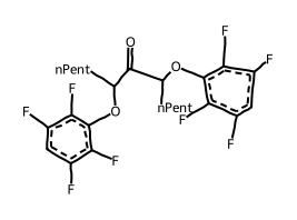 CCCCCC(Oc1c(F)c(F)cc(F)c1F)C(=O)C(CCCCC)Oc1c(F)c(F)cc(F)c1F